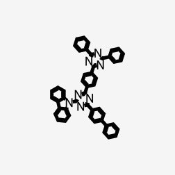 c1ccc(-c2ccc(-c3nc(-c4ccc(-c5nc(-c6ccccc6)nc(-c6ccccc6)n5)cc4)nc(-n4c5ccccc5c5ccccc54)n3)cc2)cc1